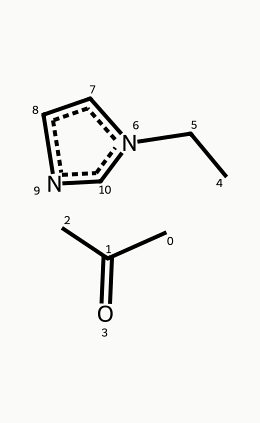 CC(C)=O.CCn1ccnc1